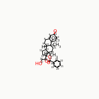 C[C@]12CCC(=O)C=C1CC[C@H]1[C@@H]3CC[C@](OC(=O)c4ccccc4)(C(=O)CO)[C@@]3(C)CC[C@@]12C